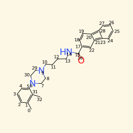 Cc1cccc(N2CCN(CCCCNC(=O)c3ccc4c(c3)=c3ccccc3=4)CC2)c1C